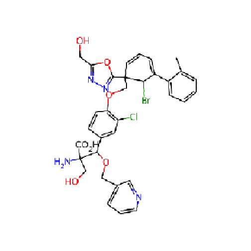 Cc1ccccc1C1=CC=CC(COc2ccc(C(OCc3cccnc3)C(N)(CO)C(=O)O)cc2Cl)(c2nnc(CO)o2)C1Br